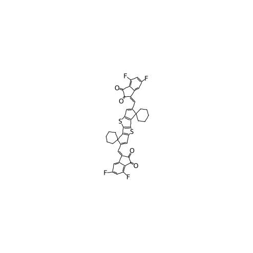 O=C1C(=O)c2c(F)cc(F)cc2/C1=C/C1=Cc2sc3c4c(sc3c2C12CCCCC2)C=C(/C=C1\C(=O)C(=O)c2c(F)cc(F)cc21)C41CCCCC1